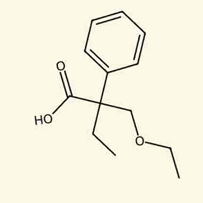 CCOCC(CC)(C(=O)O)c1ccccc1